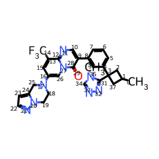 CC1CC(c2cccc(-c3cnc4c(C(F)(F)F)cc(N5CCn6nccc6C5)cn4c3=O)c2)(c2nncn2C)C1